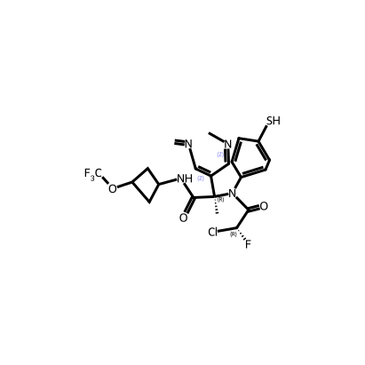 C=N/C=C(\C=N/C)[C@](C)(C(=O)NC1CC(OC(F)(F)F)C1)N(C(=O)[C@H](F)Cl)c1ccc(S)cc1